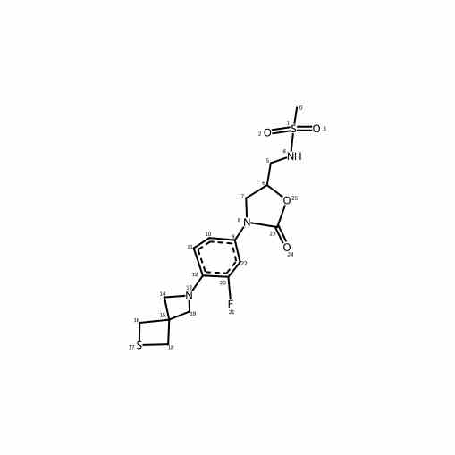 CS(=O)(=O)NCC1CN(c2ccc(N3CC4(CSC4)C3)c(F)c2)C(=O)O1